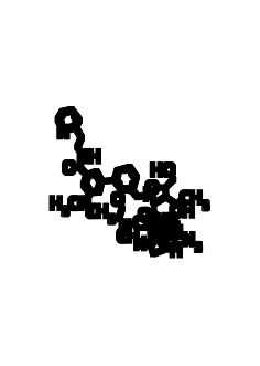 C[C@H](O)[C@@H]1[C@H](CO)ON(Cc2cccc(-c3cc(C(=O)NCCc4ccccn4)cc(N(C)C)c3)c2OCCN(C)C)[C@@H]1C(=O)NC1C[C@H]2C[C@@H]([C@@H]1C)C2(C)C